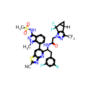 Cn1nc(NS(C)(=O)=O)c2cccc(-c3cc4sc(C#N)nc4nc3C(Cc3cc(F)cc(F)c3)NC(=O)Cn3nc(C(F)(F)F)c4c3C(F)(F)C3C[C@H]43)c21